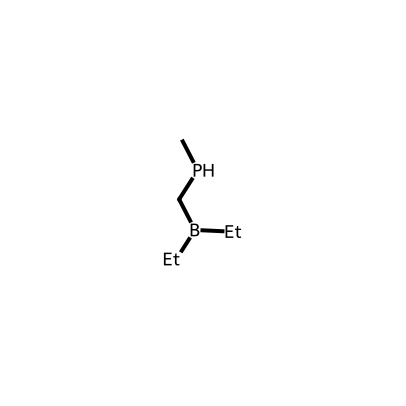 CCB(CC)CPC